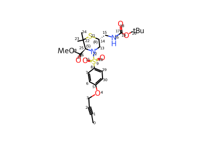 CC#CCOc1ccc(S(=O)(=O)N2C[C@@H](CNC(=O)OC(C)(C)C)SC(C)(C)[C@@H]2C(=O)OC)cc1